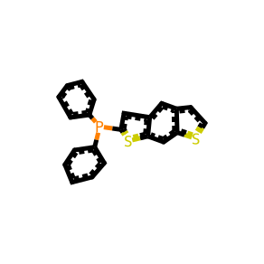 c1ccc(P(c2ccccc2)c2cc3cc4ccsc4cc3s2)cc1